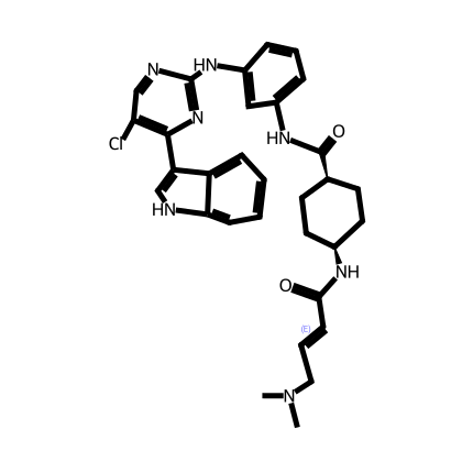 CN(C)C/C=C/C(=O)N[C@H]1CC[C@@H](C(=O)Nc2cccc(Nc3ncc(Cl)c(-c4c[nH]c5ccccc45)n3)c2)CC1